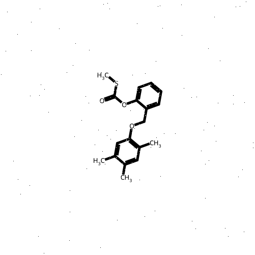 CSC(=O)Oc1ccccc1COc1cc(C)c(C)cc1C